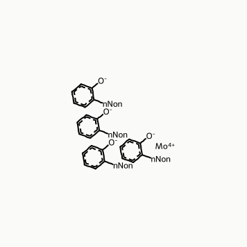 CCCCCCCCCc1ccccc1[O-].CCCCCCCCCc1ccccc1[O-].CCCCCCCCCc1ccccc1[O-].CCCCCCCCCc1ccccc1[O-].[Mo+4]